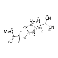 COC(=O)C(C)(C)Cc1nc(C(C)(C(=O)O)C(C#N)C#N)cs1